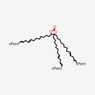 CCCCCC=CCC=CCCCCCCCCC1(CCCCCCCC=CCC=CCCCCC)OC(=O)OC1CCCCCCCC=CCC=CCCCCC